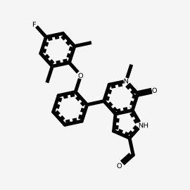 Cc1cc(F)cc(C)c1Oc1ccccc1-c1cn(C)c(=O)c2[nH]c(C=O)cc12